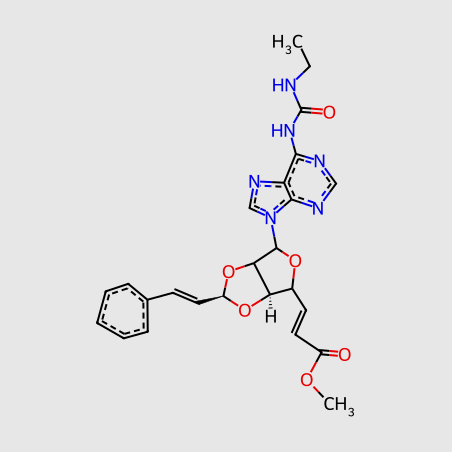 CCNC(=O)Nc1ncnc2c1ncn2C1OC(C=CC(=O)OC)[C@H]2O[C@@H](C=Cc3ccccc3)OC12